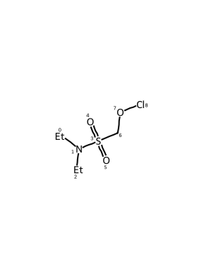 CCN(CC)S(=O)(=O)COCl